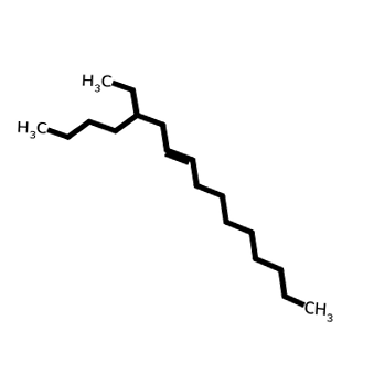 CCCCCCCCC=CCC(CC)CCCC